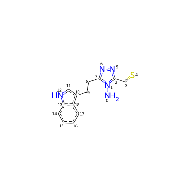 Nn1c(C=S)nnc1CCc1c[nH]c2ccccc12